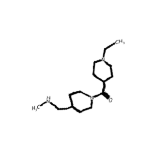 CCN1CCC(C(=O)N2CCC(CNC)CC2)CC1